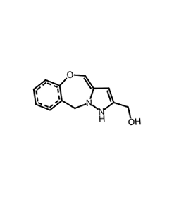 OCC1=CC2=COc3ccccc3CN2N1